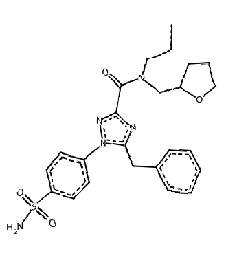 CCCN(CC1CCCO1)C(=O)c1nc(Cc2ccccc2)n(-c2ccc(S(N)(=O)=O)cc2)n1